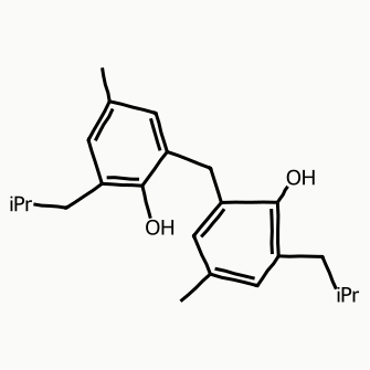 Cc1cc(Cc2cc(C)cc(CC(C)C)c2O)c(O)c(CC(C)C)c1